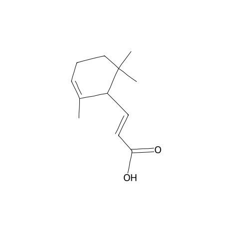 CC1=CCCC(C)(C)C1C=CC(=O)O